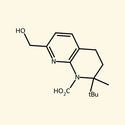 CC(C)(C)C1(C)CCc2ccc(CO)nc2N1C(=O)O